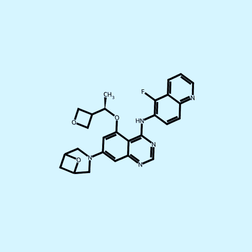 C[C@@H](Oc1cc(N2CC3CC(C2)O3)cc2ncnc(Nc3ccc4ncccc4c3F)c12)C1COC1